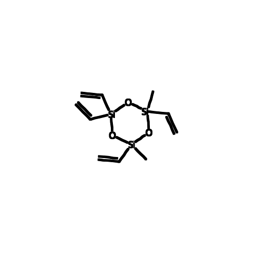 C=C[Si]1(C)O[Si](C)(C=C)O[Si](C=C)(C=C)O1